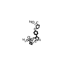 CN(C(=O)OCc1c(-c2ccc(O[C@H]3CCC[C@H](C(=O)O)C3)cc2)cnn1C)C1CCC1